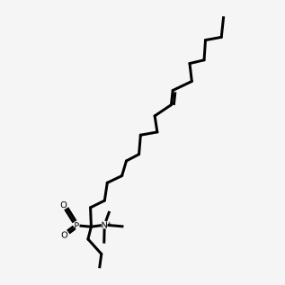 CCCCCCC=CCCCCCCCCCC(CCC)(P(=O)=O)[N+](C)(C)C